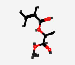 CC(C)=C(C)C(=O)O[C@@H](C)C(=O)OC(C)(C)C